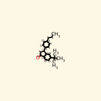 CCCc1ccc(C2CC(=O)c3ccc(C(C)(C)C)cc32)cc1